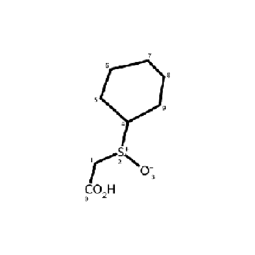 O=C(O)C[S+]([O-])C1CCCCC1